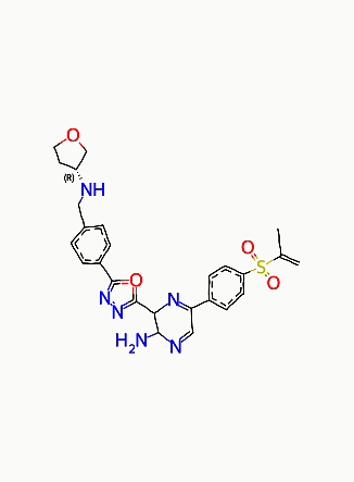 C=C(C)S(=O)(=O)c1ccc(C2=NC(c3nnc(-c4ccc(CN[C@@H]5CCOC5)cc4)o3)C(N)N=C2)cc1